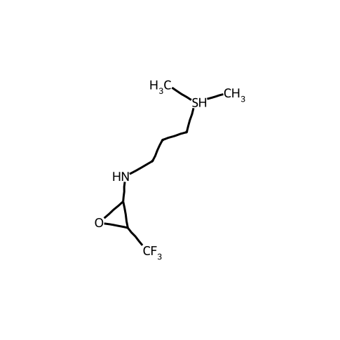 C[SH](C)CCCNC1OC1C(F)(F)F